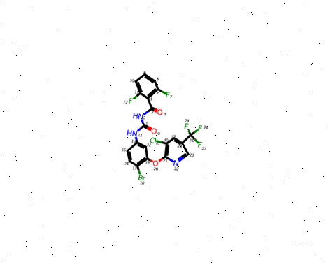 O=C(NC(=O)c1c(F)cccc1F)Nc1ccc(Br)c(Oc2ncc(C(F)(F)F)cc2Cl)c1